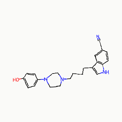 N#Cc1ccc2[nH]cc(CCCCN3CCN(c4ccc(O)cc4)CC3)c2c1